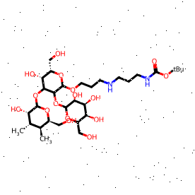 C[C@H]1[C@H](C)[C@H](O)C(OC2C(OC3OC(CO)[C@H](O)[C@H](O)[C@H]3O)C(OCCCNCCCNC(=O)OC(C)(C)C)O[C@@H](CO)[C@H]2O)O[C@H]1CO